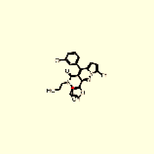 CCc1ccc2c(-c3cccc(Cl)c3)c(C(=O)N(CCO)CCO)c(-c3ccco3)nn12